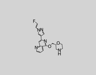 F/C=C/n1cc(-c2cc3ncccc3c(OC[C@@H]3CNCCO3)n2)cn1